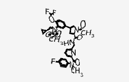 CC(=O)N1CC(c2ccc(OC(F)F)c(N(CC3CC3)S(C)(=O)=O)c2)C[C@@H]1C(=O)NCc1cccc(C(=O)N(C)c2ccc(F)cc2)n1